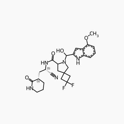 COc1cccc2[nH]c(C(O)N3CC4(CC3C(=O)N[C@H](C#N)C[C@@H]3CCCNC3=O)CC(F)(F)C4)cc12